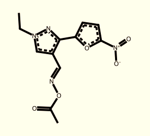 CCn1cc(C=NOC(C)=O)c(-c2ccc([N+](=O)[O-])o2)n1